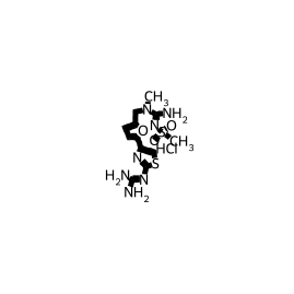 CN(Cc1ccc(-c2csc(N=C(N)N)n2)o1)C(N)=NS(C)(=O)=O.Cl